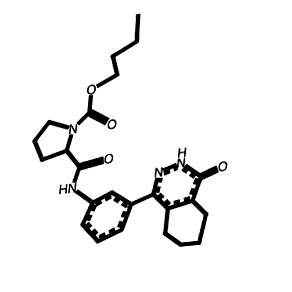 CCCCOC(=O)N1CCCC1C(=O)Nc1cccc(-c2n[nH]c(=O)c3c2CCCC3)c1